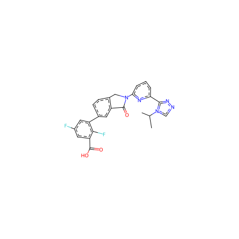 CC(C)n1cnnc1-c1cccc(N2Cc3ccc(-c4cc(F)cc(C(=O)O)c4F)cc3C2=O)n1